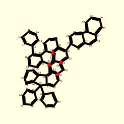 c1ccc(-c2ccccc2-c2c(-c3ccccc3)cccc2N(c2ccc(-c3ccc4c(ccc5ccccc54)c3)cc2)c2cccc3c2-c2ccccc2C3(c2ccccc2)c2ccccc2)cc1